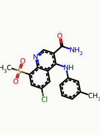 Cc1cccc(Nc2c(C(N)=O)cnc3c(S(C)(=O)=O)cc(Cl)cc23)c1